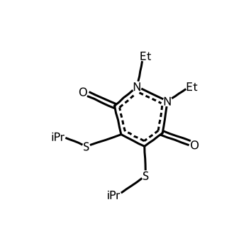 CCn1c(=O)c(SC(C)C)c(SC(C)C)c(=O)n1CC